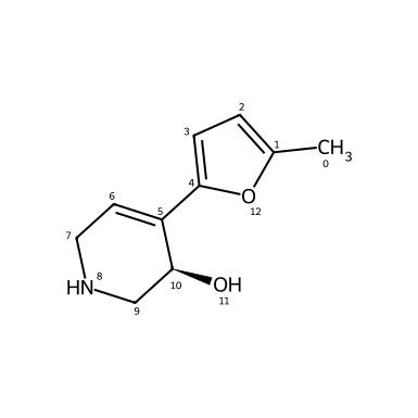 Cc1ccc(C2=CCNC[C@@H]2O)o1